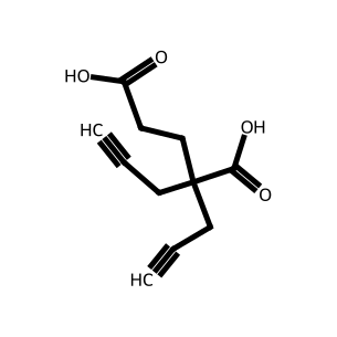 C#CCC(CC#C)(CCC(=O)O)C(=O)O